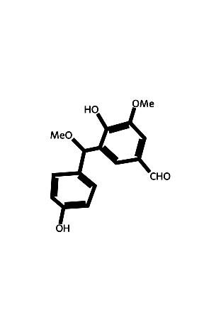 COc1cc(C=O)cc(C(OC)c2ccc(O)cc2)c1O